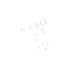 O=C(Cc1cccc2occc12)N(Cc1ncon1)[C@H](CN1CC[C@H](O)C1)c1ccccc1